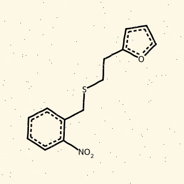 O=[N+]([O-])c1ccccc1CSCCc1ccco1